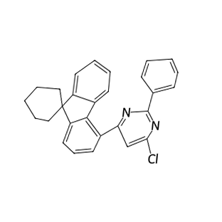 Clc1cc(-c2cccc3c2-c2ccccc2C32CCCCC2)nc(-c2ccccc2)n1